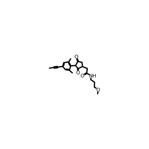 CC#Cc1cc(C)c(C2C(=O)CC(CC(=O)NCCCOC)C2=O)c(C)c1